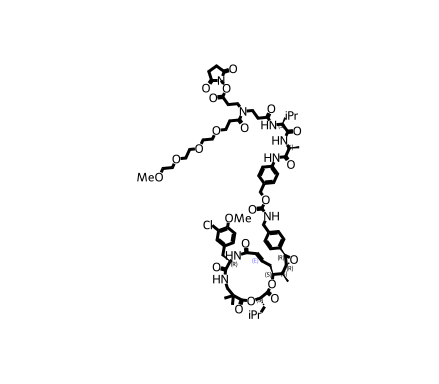 COCCOCCOCCOCCC(=O)N(CCC(=O)N[C@H](C(=O)N[C@@H](C)C(=O)Nc1ccc(COC(=O)NCc2ccc([C@H]3O[C@@H]3[C@@H](C)[C@@H]3C/C=C/C(=O)N[C@H](Cc4ccc(OC)c(Cl)c4)C(=O)NCC(C)(C)C(=O)O[C@@H](CC(C)C)C(=O)O3)cc2)cc1)C(C)C)CCC(=O)ON1C(=O)CCC1=O